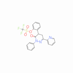 O=C1C(c2ccccc2OS(=O)(=O)C(F)(F)F)CC(c2ccccn2)=NN1c1ccccc1